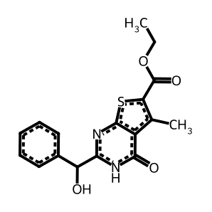 CCOC(=O)c1sc2nc(C(O)c3ccccc3)[nH]c(=O)c2c1C